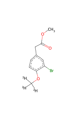 [2H]C([2H])([2H])Oc1ccc(CC(=O)OC)cc1Br